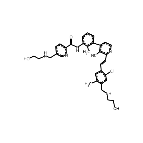 Cc1cc(C=Cc2nccc(-c3cccc(NC(=O)c4ccc(CNCCO)cn4)c3C)c2C#N)c(Cl)cc1CNCCO